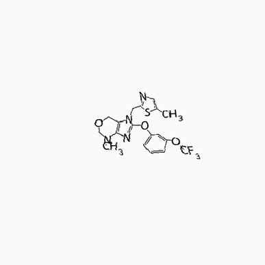 Cc1cnc(Cn2c(Oc3cccc(OC(F)(F)F)c3)nc3c2COCN3C)s1